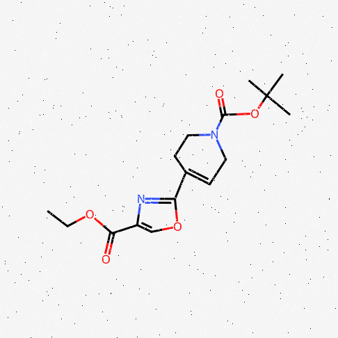 CCOC(=O)c1coc(C2=CCN(C(=O)OC(C)(C)C)CC2)n1